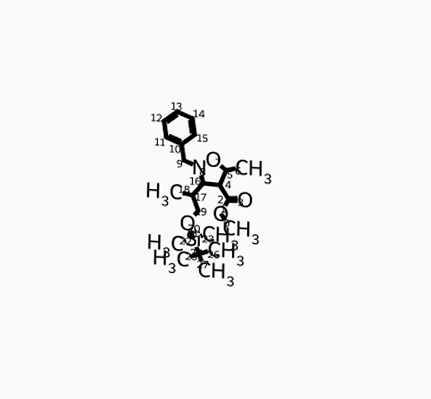 COC(=O)C1C(C)ON(Cc2ccccc2)C1C(C)CO[Si](C)(C)C(C)(C)C